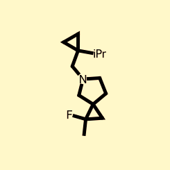 CC(C)C1(CN2CCC3(C2)CC3(C)F)CC1